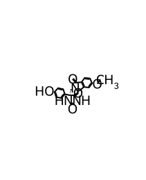 COc1ccc2c(c1)CN(C[C@@]1(c3ccc(O)cc3)NC(=O)NC1=O)C2=O